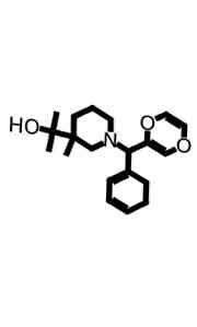 CC(C)(O)C1(C)CCCN(C(C2=CC=CCC2)C2=COC=CO2)C1